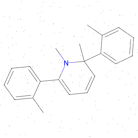 Cc1ccccc1C1=CC=CC(C)(c2ccccc2C)N1C